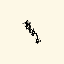 O=C1C(CCCc2cccc3ncnn23)C[C@H]2CN(c3ccc(C(F)F)cn3)CCN12